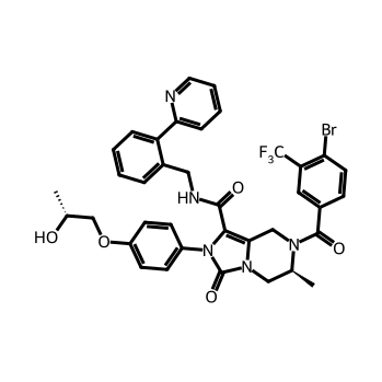 C[C@@H](O)COc1ccc(-n2c(C(=O)NCc3ccccc3-c3ccccn3)c3n(c2=O)C[C@H](C)N(C(=O)c2ccc(Br)c(C(F)(F)F)c2)C3)cc1